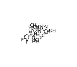 C[C@@H]1C[C@@H](O)c2ncnc(N3CCN(C(=O)[C@@H](c4ccc(F)c(F)c4)[C@@H]4CCC(C)(C)N4)CC3)c21.Cl.Cl